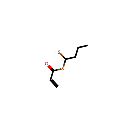 C=CC(=O)SC(S)CCC